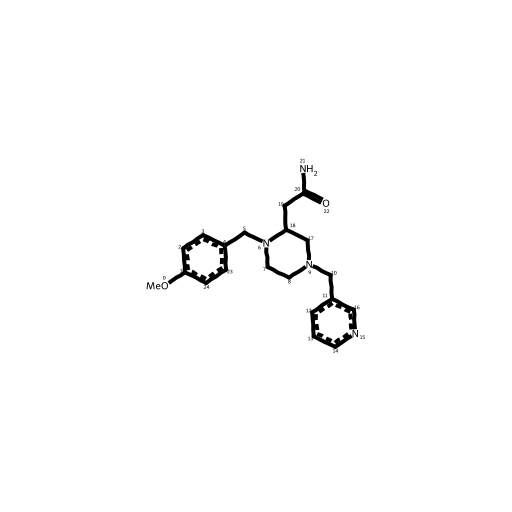 COc1ccc(CN2CCN(Cc3cccnc3)CC2CC(N)=O)cc1